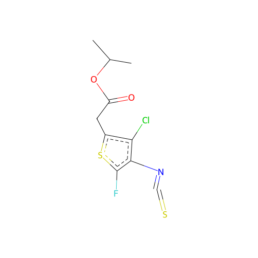 CC(C)OC(=O)Cc1sc(F)c(N=C=S)c1Cl